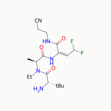 CCN(C(=O)[C@@H](N)C(C)(C)C)[C@@H](C)C(=O)N/C(=C/C(F)F)C(=O)NCCC#N